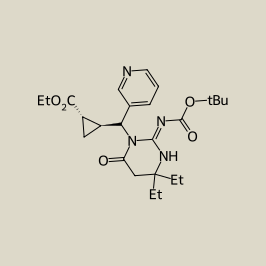 CCOC(=O)[C@H]1C[C@@H]1C(c1cccnc1)N1C(=O)CC(CC)(CC)N/C1=N\C(=O)OC(C)(C)C